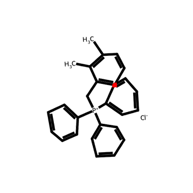 Cc1cccc(C[P+](c2ccccc2)(c2ccccc2)c2ccccc2)c1C.[Cl-]